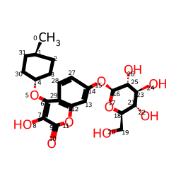 C[C@H]1CC[C@H](Oc2c(O)c(=O)oc3cc(O[C@@H]4O[C@H](CO)[C@@H](O)[C@H](O)[C@H]4O)ccc23)CC1